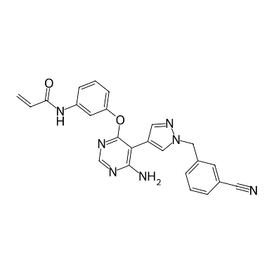 C=CC(=O)Nc1cccc(Oc2ncnc(N)c2-c2cnn(Cc3cccc(C#N)c3)c2)c1